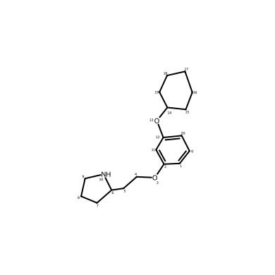 c1cc(OCCC2CCCN2)cc(OC2CCCCC2)c1